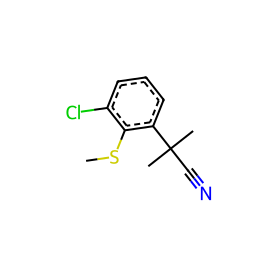 CSc1c(Cl)cccc1C(C)(C)C#N